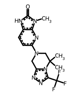 Cn1c(=O)[nH]c2ccc(N3Cc4nnc(C(F)(F)F)n4C(C)(C)C3)nc21